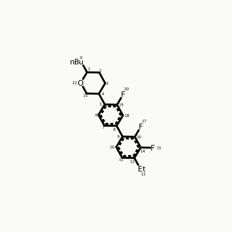 CCCCC1CCC(c2ccc(-c3ccc(CC)c(F)c3F)cc2F)CO1